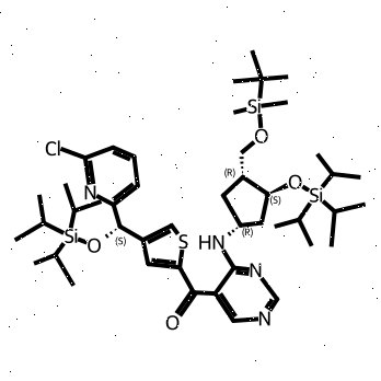 CC(C)[Si](O[C@@H](c1csc(C(=O)c2cncnc2N[C@@H]2C[C@H](CO[Si](C)(C)C(C)(C)C)[C@@H](O[Si](C(C)C)(C(C)C)C(C)C)C2)c1)c1cccc(Cl)n1)(C(C)C)C(C)C